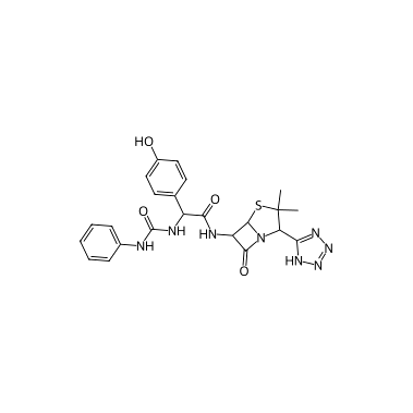 CC1(C)SC2C(NC(=O)C(NC(=O)Nc3ccccc3)c3ccc(O)cc3)C(=O)N2C1c1nnn[nH]1